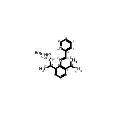 CC(C)c1cccc(C(C)C)c1N=Cc1ccccn1.[Br-].[Br-].[Ni+2]